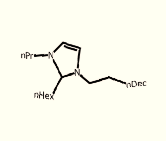 CCCCCCCCCCCCN1C=CN(CCC)C1CCCCCC